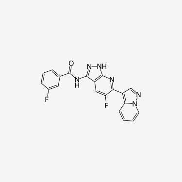 O=C(Nc1n[nH]c2nc(-c3cnn4ccccc34)c(F)cc12)c1cccc(F)c1